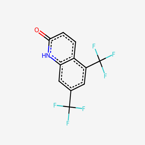 O=c1ccc2c(C(F)(F)F)cc(C(F)(F)F)cc2[nH]1